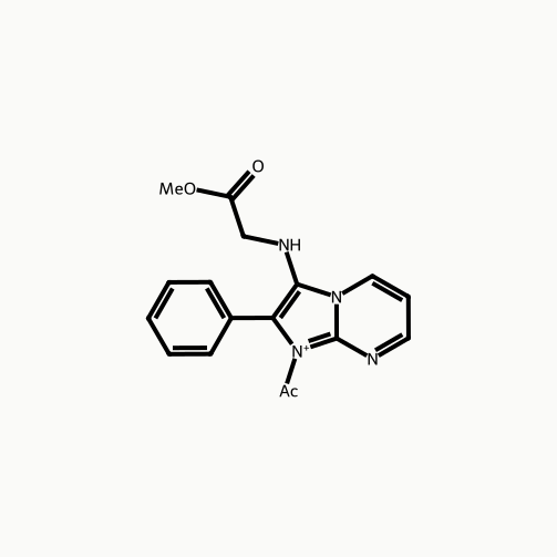 COC(=O)CNc1c(-c2ccccc2)[n+](C(C)=O)c2ncccn12